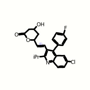 CC(C)c1nc2ccc(Cl)cc2c(-c2ccc(F)cc2)c1/C=C/C1CC(O)CC(=O)O1